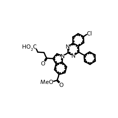 COC(=O)c1ccc2c(c1)c(C(=O)CCC(=O)O)cn2-c1nc(-c2ccccc2)c2cc(Cl)ccc2n1